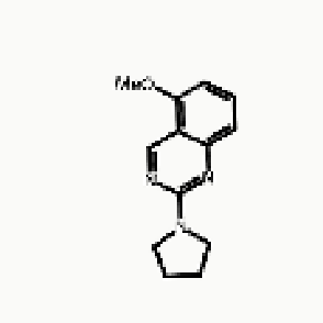 COc1cccc2nc(N3CCCC3)ncc12